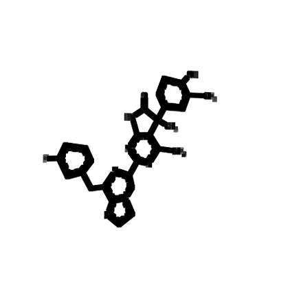 Cc1cc(C2(C)C(=O)Nc3nc(-c4cn5ccnc5c(Cc5cccc(F)c5)n4)nc(N)c32)ccc1O